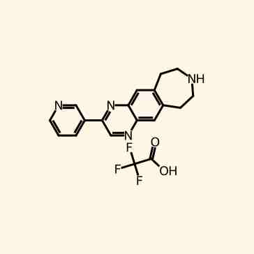 O=C(O)C(F)(F)F.c1cncc(-c2cnc3cc4c(cc3n2)CCNCC4)c1